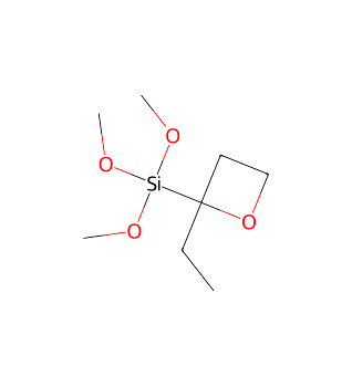 CCC1([Si](OC)(OC)OC)CCO1